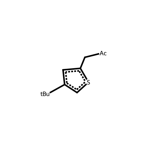 CC(=O)Cc1cc(C(C)(C)C)cs1